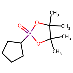 CC1(C)OP(=O)(C2CCCC2)OC1(C)C